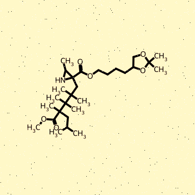 COC(=O)C(C)(CC(C)C)C(C)(C)C(C)(C)CC1(C(=O)OCCCCC2COC(C)(C)O2)NC1C